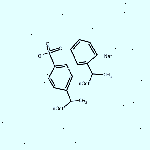 CCCCCCCCC(C)c1ccc(S(=O)(=O)[O-])cc1.CCCCCCCCC(C)c1ccccc1.[Na+]